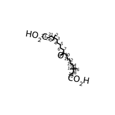 CC(C)(CCCCCC(=O)CCCCCC(C)(C)CCC(=O)O)CCC(=O)O